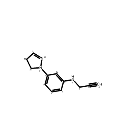 C#CCNc1cccc(N2CCC=N2)c1